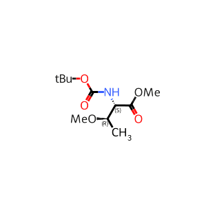 COC(=O)[C@@H](NC(=O)OC(C)(C)C)[C@@H](C)OC